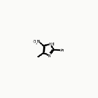 Cc1nc(C(C)C)[nH]c1[N+](=O)[O-]